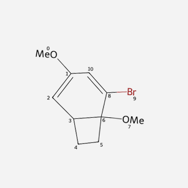 COC1=CC2CCC2(OC)C(Br)=C1